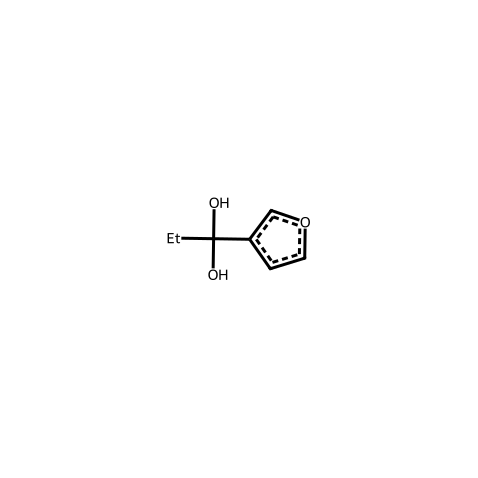 CCC(O)(O)c1ccoc1